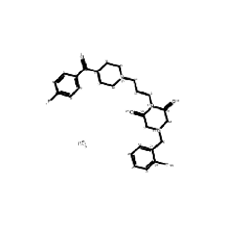 Cl.O=C(c1ccc(F)cc1)C1CCN(CCCN2C(=O)CN(Cc3ccccc3F)CC2=O)CC1